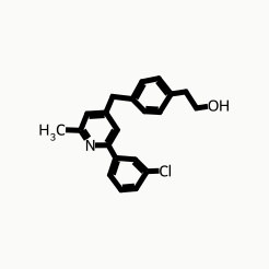 Cc1cc(Cc2ccc(CCO)cc2)cc(-c2cccc(Cl)c2)n1